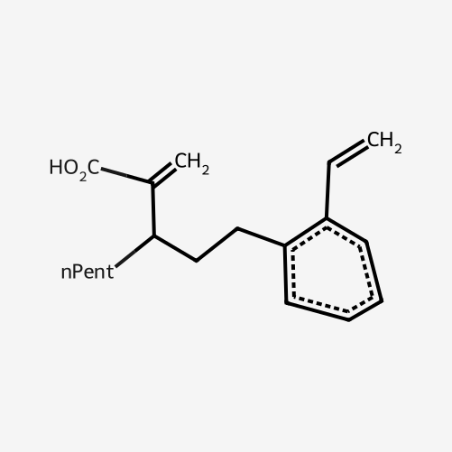 C=Cc1ccccc1CCC(CCCCC)C(=C)C(=O)O